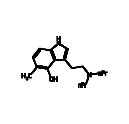 CCCN(CCC)CCc1c[nH]c2ccc(C)c(O)c12